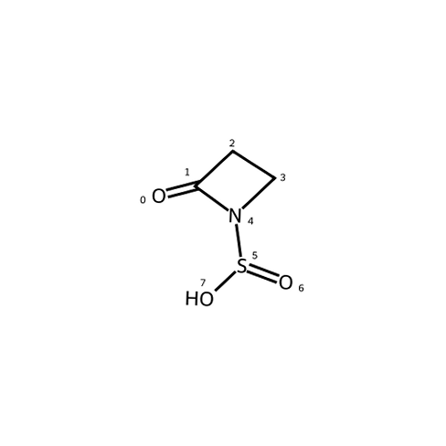 O=C1CCN1S(=O)O